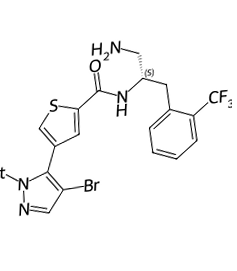 CCn1ncc(Br)c1-c1csc(C(=O)N[C@H](CN)Cc2ccccc2C(F)(F)F)c1